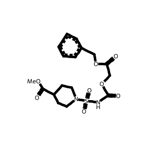 COC(=O)C1CCN(S(=O)(=O)NC(=O)OCC(=O)OCc2ccccc2)CC1